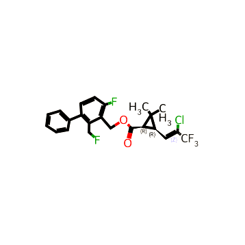 CC1(C)[C@H](C(=O)OCc2c(F)ccc(-c3ccccc3)c2CF)[C@@H]1/C=C(\Cl)C(F)(F)F